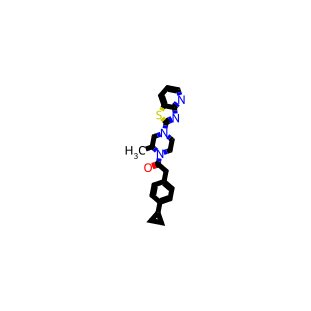 CC1CN(c2nc3ncccc3s2)CCN1C(=O)Cc1ccc(C2CC2)cc1